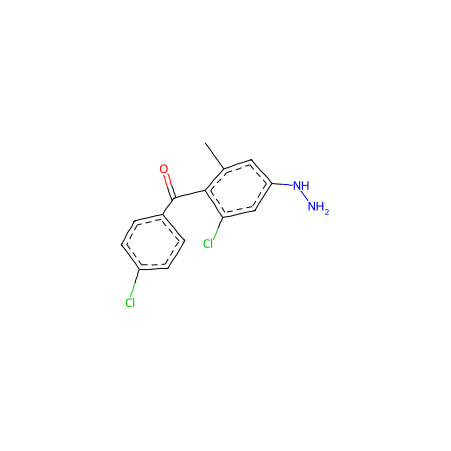 Cc1cc(NN)cc(Cl)c1C(=O)c1ccc(Cl)cc1